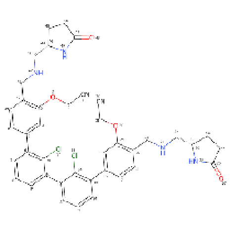 N#CCOc1cc(-c2cccc(-c3cccc(-c4ccc(CNC[C@@H]5CCC(=O)N5)c(OCC#N)c4)c3Cl)c2Cl)ccc1CNC[C@@H]1CCC(=O)N1